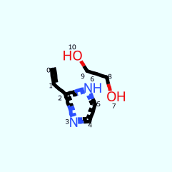 C=Cc1ncc[nH]1.OCCO